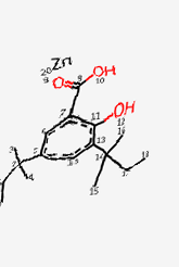 CCC(C)(C)c1cc(C(=O)O)c(O)c(C(C)(C)CC)c1.[Zn]